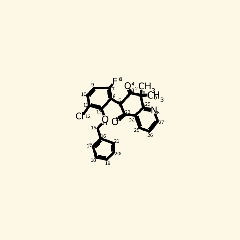 CC1(C)C(=O)C(c2c(F)ccc(Cl)c2OCc2ccccc2)C(=O)c2cccnc21